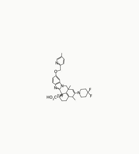 Cc1ccc(COc2ccc3nc4n(c3c2)CC2(C)C=C(N3CCC(F)(F)CC3)C(C)C3=C2[C@H]4[C@H](C(=O)O)CC3)nc1